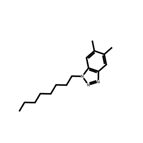 CCCCCCCCn1nnc2cc(C)c(C)cc21